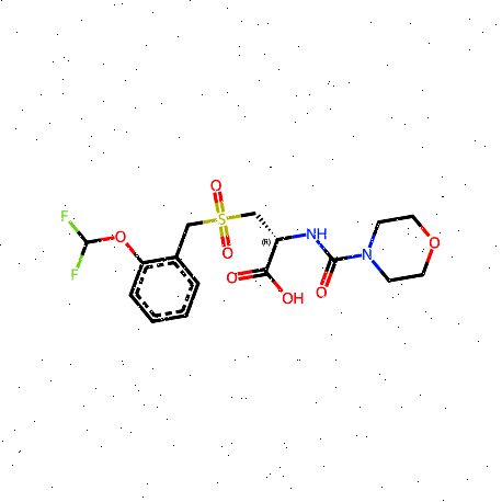 O=C(O)[C@H](CS(=O)(=O)Cc1ccccc1OC(F)F)NC(=O)N1CCOCC1